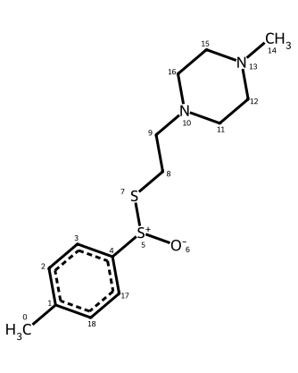 Cc1ccc([S+]([O-])SCCN2CCN(C)CC2)cc1